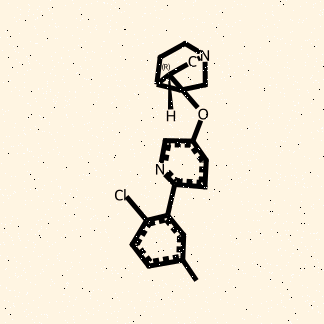 Cc1ccc(Cl)c(-c2ccc(O[C@H]3CN4CCC3CC4)cn2)c1